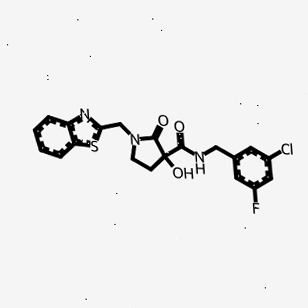 O=C(NCc1cc(F)cc(Cl)c1)C1(O)CCN(Cc2nc3ccccc3s2)C1=O